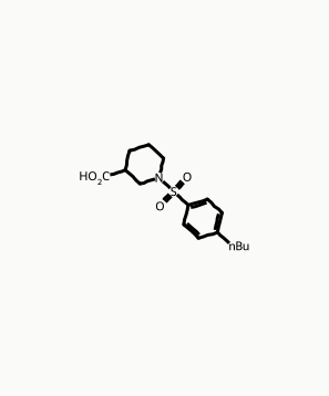 CCCCc1ccc(S(=O)(=O)N2CCCC(C(=O)O)C2)cc1